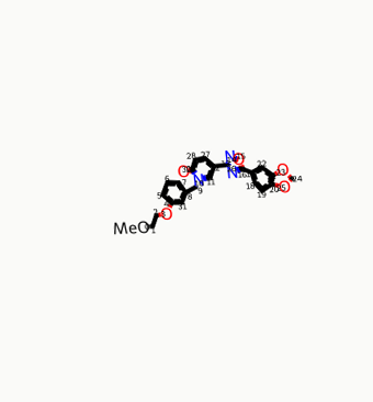 COCCOc1cccc(Cn2cc(-c3noc(-c4ccc5c(c4)OCO5)n3)ccc2=O)c1